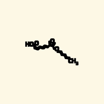 CCCCCCCOC[C@@H]1COC[C@@H]1CC=CC/C=C\C(=O)O